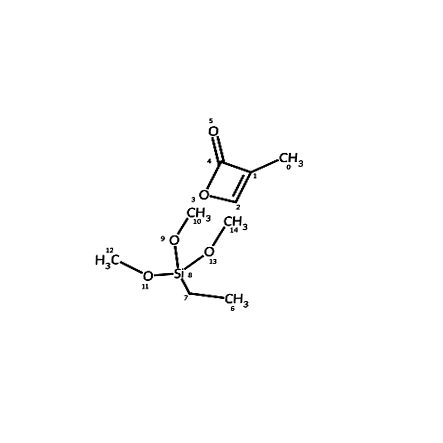 CC1=COC1=O.CC[Si](OC)(OC)OC